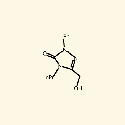 CCCn1c(CO)nn(C(C)C)c1=O